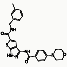 Cc1cccc(CNC(=O)c2cc3c(NC(=O)c4ccc(N5CCOCC5)cc4)n[nH]c3s2)c1